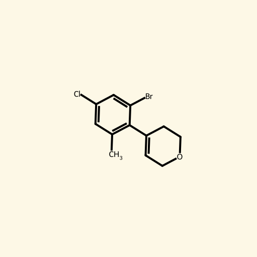 Cc1cc(Cl)cc(Br)c1C1=CCOCC1